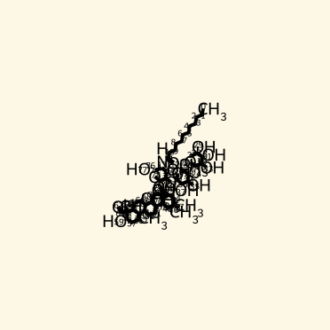 CCCCCCCCCCCC(=O)NC1C(O)C(O[C@@H]2O[C@H](C)C(O[C@@H]3OC[C@@H](O)C(O)C3O)C(O)C2O)[C@H](OC(=O)C23CCC(C)(C)CC2C2=CCC4C5(C)CCC(O)C(C)(C=O)[C@@H]5CC[C@@]4(C)[C@]2(C)C[C@@H]3O)O[C@@H]1CO